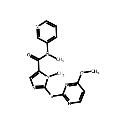 COc1ccnc(Sc2ncc(C(=O)N(C)c3cccnc3)n2C)n1